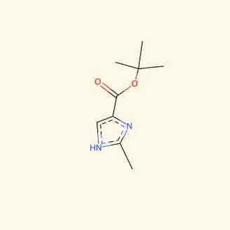 Cc1nc(C(=O)OC(C)(C)C)c[nH]1